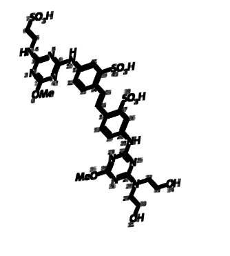 COc1nc(NCCS(=O)(=O)O)nc(Nc2ccc(C=Cc3ccc(Nc4nc(OC)nc(N(CCO)CCO)n4)cc3S(=O)(=O)O)c(S(=O)(=O)O)c2)n1